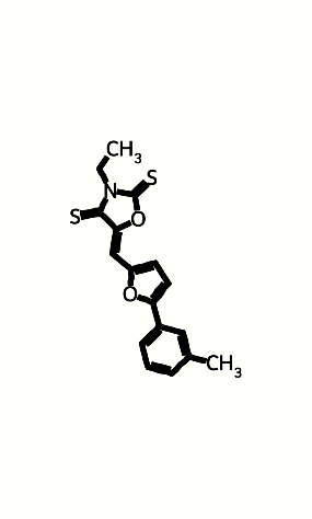 CCN1C(=S)O/C(=C\c2ccc(-c3cccc(C)c3)o2)C1=S